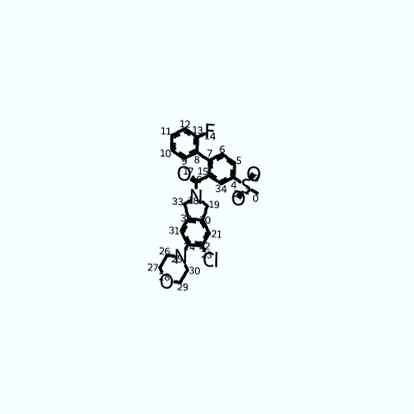 CS(=O)(=O)c1ccc(-c2ccccc2F)c(C(=O)N2Cc3cc(Cl)c(N4CCOCC4)cc3C2)c1